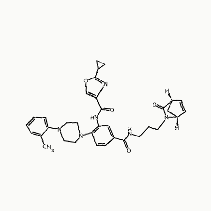 Cc1ccccc1N1CCN(c2ccc(C(=O)NCCCN3C(=O)[C@@H]4C=C[C@H]3C4)cc2NC(=O)c2coc(C3CC3)n2)CC1